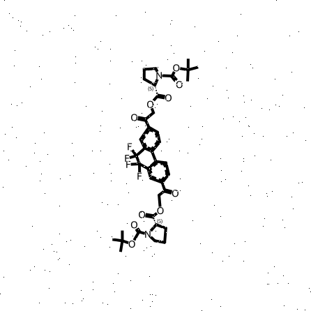 CC(C)(C)OC(=O)N1CCC[C@H]1C(=O)OCC(=O)c1ccc2c(c1)C(F)(F)C(F)(F)c1cc(C(=O)COC(=O)[C@@H]3CCCN3C(=O)OC(C)(C)C)ccc1-2